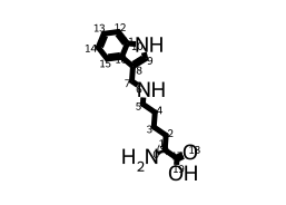 N[C@@H](CCCCNCc1c[nH]c2ccccc12)C(=O)O